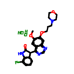 COc1cc2c(C3C(=O)Nc4c(F)cccc43)ncnc2cc1OCCCN1CCOCC1.Cl.Cl